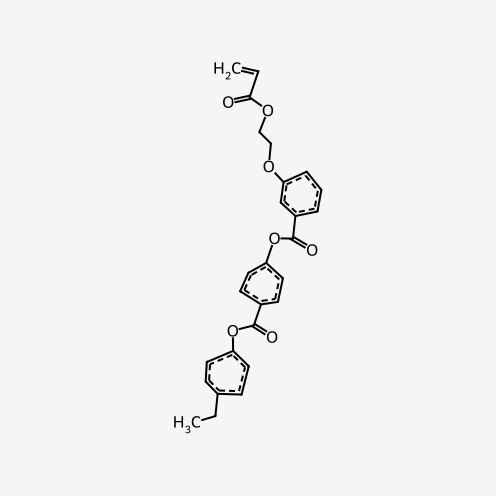 C=CC(=O)OCCOc1cccc(C(=O)Oc2ccc(C(=O)Oc3ccc(CC)cc3)cc2)c1